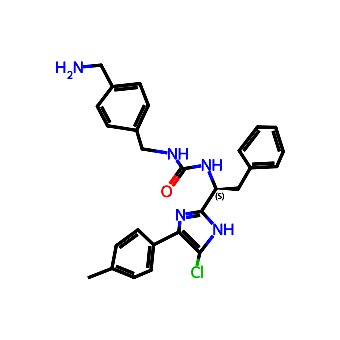 Cc1ccc(-c2nc([C@H](Cc3ccccc3)NC(=O)NCc3ccc(CN)cc3)[nH]c2Cl)cc1